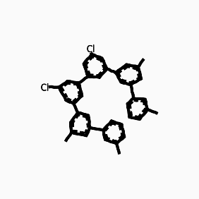 Cc1cccc(-c2cc(C)cc(-c3cc(Cl)cc(-c4cc(Cl)cc(-c5cc(C)cc(-c6cccc(C)c6)c5)c4)c3)c2)c1